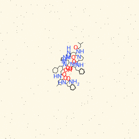 CC(C)CC(=O)NC(Cc1cnc[nH]1)C(=O)N1CCCC1C(=O)NC(Cc1ccccc1)C(=O)NC(Cc1ncc[nH]1)C(=O)NC(CC1CCCCC1)C(O)CC(=O)NC(CC(C)C)C(=O)NC(Cc1ccccc1)C(N)=O